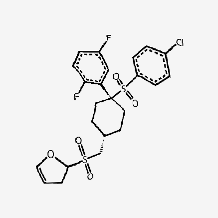 O=S(=O)(C[C@H]1CC[C@@](c2cc(F)ccc2F)(S(=O)(=O)c2ccc(Cl)cc2)CC1)C1CC=CO1